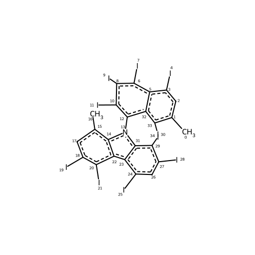 Cc1cc(I)c2c(I)c(I)c(I)c(-n3c4c(C)cc(I)c(I)c4c4c(I)cc(I)c(I)c43)c2c1I